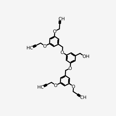 C#CCOc1cc(COc2cc(CO)cc(OCc3cc(OCC#C)cc(OCC#C)c3)c2)cc(OCC#C)c1